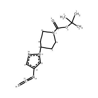 CC(C)(C)OC(=O)N1CCC(n2cc(N=C=S)cn2)CC1